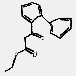 CCOC(=O)CC(=O)c1ccccc1-c1ccccc1